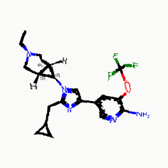 CCN1C[C@@H]2[C@H](C1)[C@H]2n1cc(-c2cnc(N)c(OC(F)(F)F)c2)nc1CC1CC1